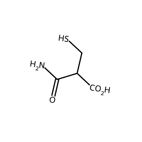 NC(=O)C(CS)C(=O)O